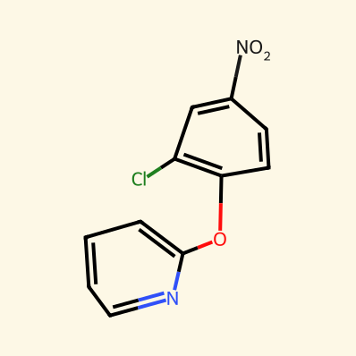 O=[N+]([O-])c1ccc(Oc2ccccn2)c(Cl)c1